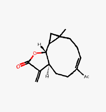 C=C1C(=O)O[C@@H]2C3CC3(C)CC/C=C(/C(C)=O)CC[C@@H]12